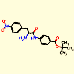 CC(C)(C)OC(=O)c1ccc(NC(=O)[C@@H](N)Cc2ccc([N+](=O)[O-])cc2)cc1